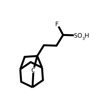 O=S(=O)(O)C(F)CCC12CC3CC(CC1C3)C2